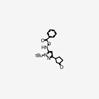 CC(C)(C)n1nc(C2CCC(=O)C2)cc1NOC(=O)c1ccccc1